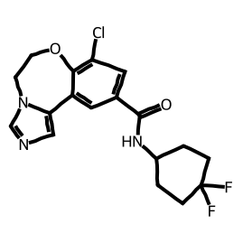 O=C(NC1CCC(F)(F)CC1)c1cc(Cl)c2c(c1)-c1cncn1CCO2